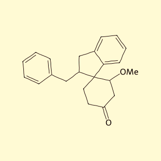 COC1CC(=O)CCC12c1ccccc1CC2Cc1ccccc1